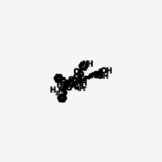 CC(C)C[C@@H](NC(=O)[C@@H](Cc1ccccc1)NC(=O)[C@H](N)Cc1ccccc1)C(=O)N[C@H](CCCCNC[C@@H](O)CO)C(=O)OC(=O)C1CCNCC1